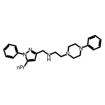 CCCc1cc(CNCCN2CCN(c3ccccc3)CC2)nn1-c1ccccc1